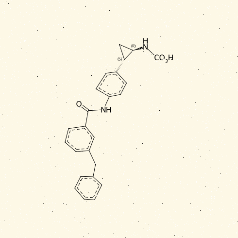 O=C(O)N[C@@H]1C[C@H]1c1ccc(NC(=O)c2cccc(Cc3ccccc3)c2)cc1